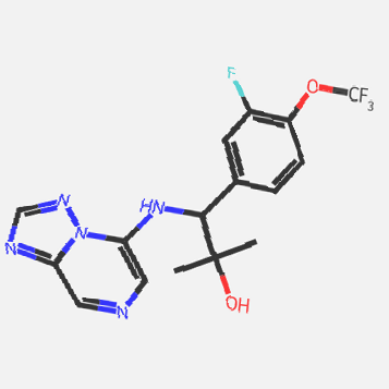 CC(C)(O)C(Nc1cncc2ncnn12)c1ccc(OC(F)(F)F)c(F)c1